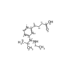 CCNN(c1ncnc(SCCC(=O)O)n1)C(C)C